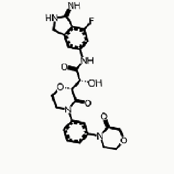 N=C1NCc2cc(NC(=O)[C@H](O)[C@H]3OCCN(c4cccc(N5CCOCC5=O)c4)C3=O)cc(F)c21